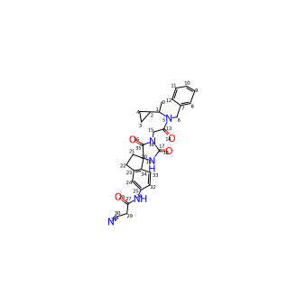 CC(C1CC1)N(Cc1ccccc1)C(=O)CN1C(=O)NC2(CCc3cc(NC(=O)CC#N)ccc32)C1=O